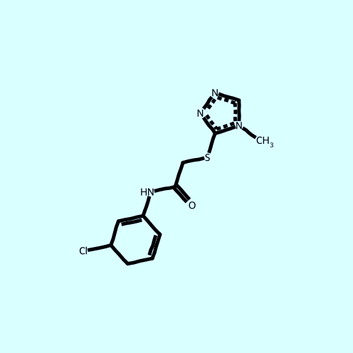 Cn1cnnc1SCC(=O)NC1=CC(Cl)CC=C1